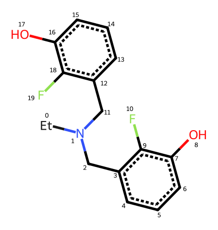 CCN(Cc1cccc(O)c1F)Cc1cccc(O)c1F